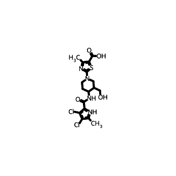 Cc1nc(N2CCC(NC(=O)c3[nH]c(C)c(Cl)c3Cl)C(CO)C2)sc1C(=O)O